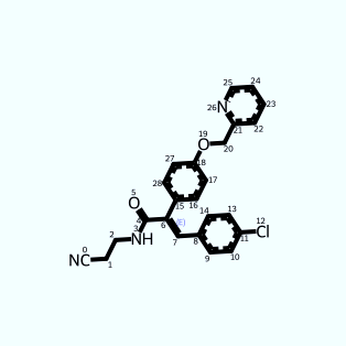 N#CCCNC(=O)/C(=C/c1ccc(Cl)cc1)c1ccc(OCc2ccccn2)cc1